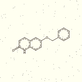 O=c1ccc2cc(OCc3ccccc3)ccc2[nH]1